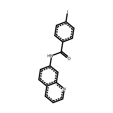 O=C(Nc1ccc2cccnc2c1)c1ccc(I)cc1